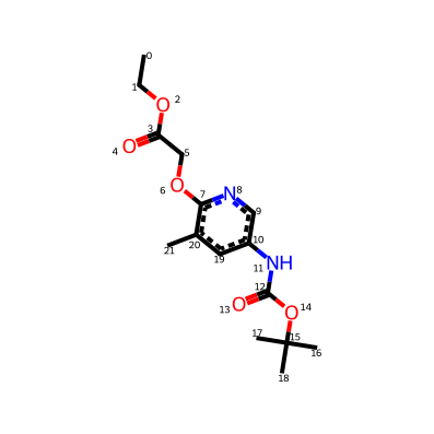 CCOC(=O)COc1ncc(NC(=O)OC(C)(C)C)cc1C